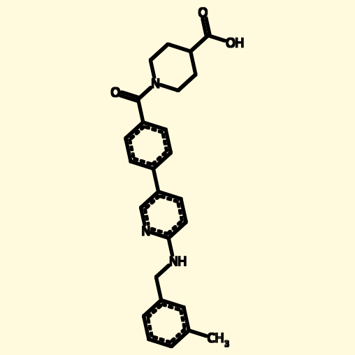 Cc1cccc(CNc2ccc(-c3ccc(C(=O)N4CCC(C(=O)O)CC4)cc3)cn2)c1